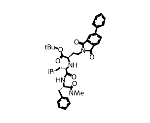 CNC(=O)[C@H](Cc1ccccc1)NC(=O)[C@H](CC(C)C)N[C@H](CCN1C(=O)c2ccc(-c3ccccc3)cc2C1=O)C(=O)OC(C)(C)C